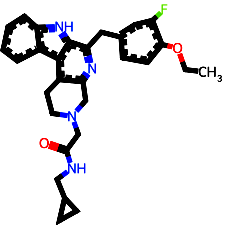 CCOc1ccc(Cc2nc3c(c4c2[nH]c2ccccc24)CCN(CC(=O)NCC2CC2)C3)cc1F